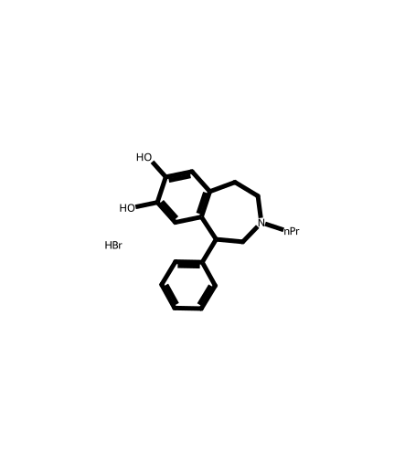 Br.CCCN1CCc2cc(O)c(O)cc2C(c2ccccc2)C1